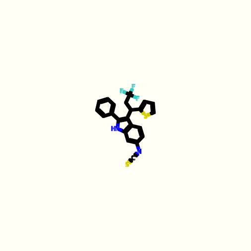 FC(F)(F)CC(c1cccs1)c1c(-c2ccccc2)[nH]c2cc(N=C=S)ccc12